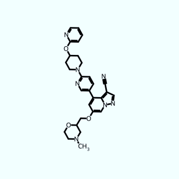 CN1CCOC(COc2cc(-c3ccc(N4CCC(Oc5ccccn5)CC4)nc3)c3c(C#N)cnn3c2)C1